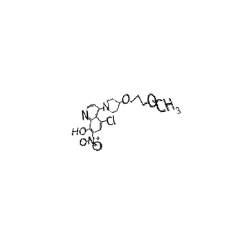 COCCCOC1CCN(c2ccnc3c(O)c([N+](=O)[O-])cc(Cl)c23)CC1